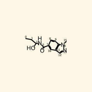 CCC(O)NC(=O)c1ccc2c(cnn2C)c1